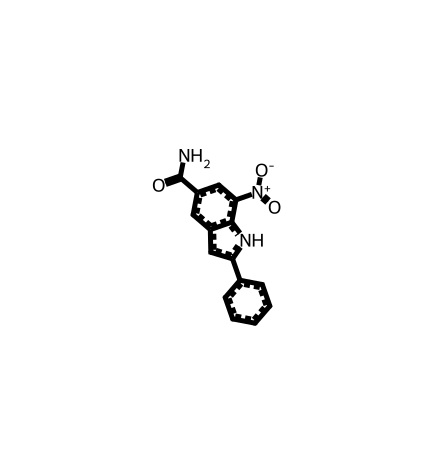 NC(=O)c1cc([N+](=O)[O-])c2[nH]c(-c3ccccc3)cc2c1